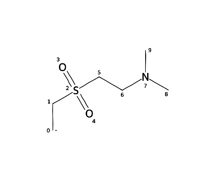 [CH2]CS(=O)(=O)CCN(C)C